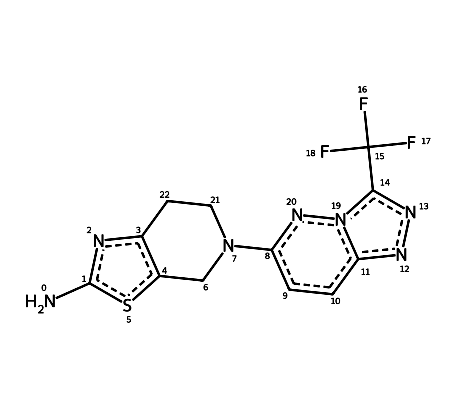 Nc1nc2c(s1)CN(c1ccc3nnc(C(F)(F)F)n3n1)CC2